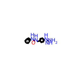 N=C(N)Nc1ccc(CNC(=O)NC23CC4CC(CC2C4)C3)cc1